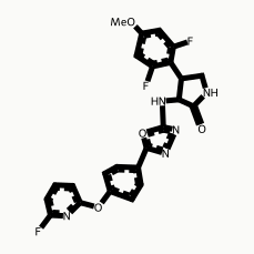 COc1cc(F)c(C2CNC(=O)C2Nc2nnc(-c3ccc(Oc4cccc(F)n4)cc3)o2)c(F)c1